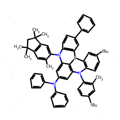 Cc1cc(C(C)(C)C)ccc1N1c2ccc(C(C)(C)C)cc2B2c3cc(-c4ccccc4)ccc3N(c3cc4c(cc3C)C(C)(C)CC4(C)C)c3cc(N(c4ccccc4)c4ccccc4)cc1c32